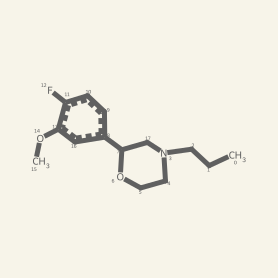 CCCN1CCOC(c2ccc(F)c(OC)c2)C1